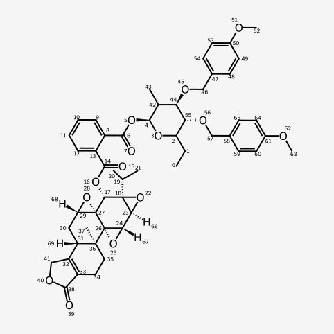 CCC1O[C@@H](OC(=O)c2ccccc2C(=O)O[C@@H]2[C@@]3(C(C)C)O[C@H]3[C@@H]3O[C@]34[C@]23O[C@H]3C[C@H]2C3=C(CC[C@@]24C)C(=O)OC3)C(C)[C@@H](OCc2ccc(OC)cc2)[C@@H]1OCc1ccc(OC)cc1